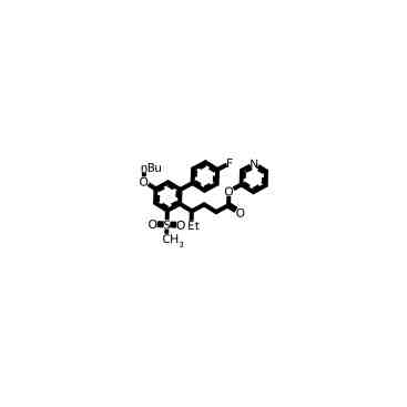 CCCCOc1cc(-c2ccc(F)cc2)c(C(CC)CCC(=O)Oc2cccnc2)c(S(C)(=O)=O)c1